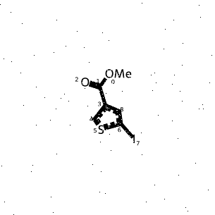 COC(=O)c1csc(I)c1